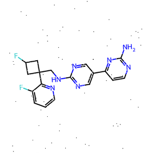 Nc1nccc(-c2cnc(NCC3(c4ncccc4F)CC(F)C3)nc2)n1